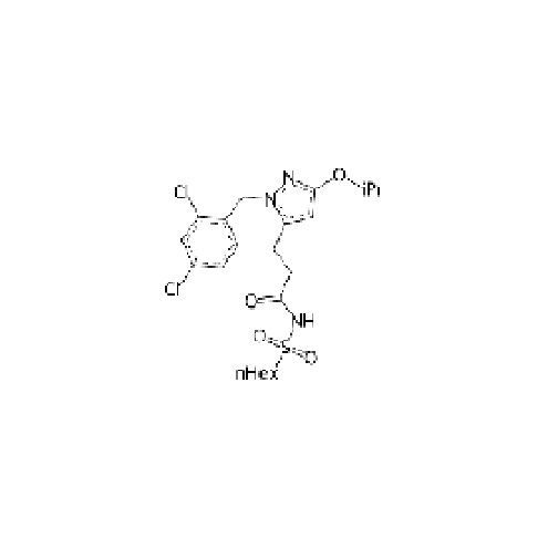 CCCCCCS(=O)(=O)NC(=O)CCc1cc(OC(C)C)nn1Cc1ccc(Cl)cc1Cl